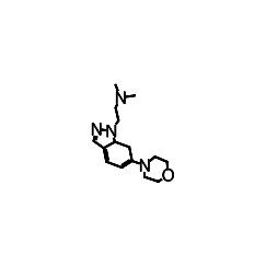 CN(C)CCN1N=CC2=CC=C(N3CCOCC3)CC21